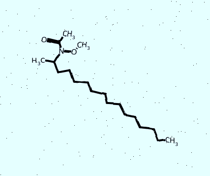 CCCCCCCCCCCCCCC(C)N(OC)C(C)=O